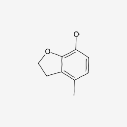 Cc1ccc([O])c2c1CCO2